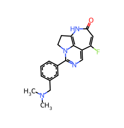 CN(C)Cc1cccc(C2=NC=C3C(F)=CC(=O)NC4=C3N2CC4)c1